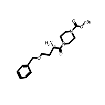 CCCCOC(=O)N1CCN(C(=O)[C@@H](N)CCOCc2ccccc2)CC1